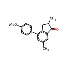 COc1ccc(-c2cc(C)cc3c2CC(C)C3=O)cc1